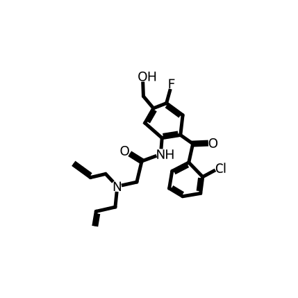 C=CCN(CC=C)CC(=O)Nc1cc(CO)c(F)cc1C(=O)c1ccccc1Cl